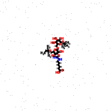 CCC(C)(C)OCC1O[C@@H](OCC2O[C@H](OC(C)(C)C)C(O)C(O)[C@@H]2O)C(O)C(OC(=N)NCCCCCC(=O)O)[C@@H]1O